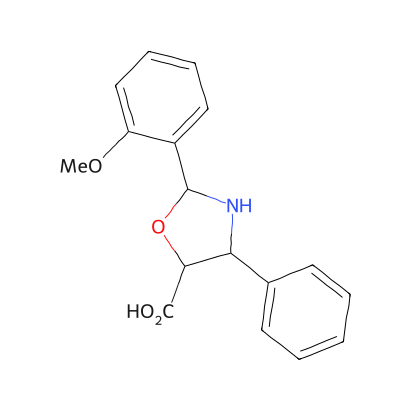 COc1ccccc1C1NC(c2ccccc2)C(C(=O)O)O1